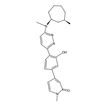 C[C@@H]1CCCC[C@H](N(C)c2ccc(-c3ccc(-c4ccn(C)c(=O)c4)cc3O)nn2)C1